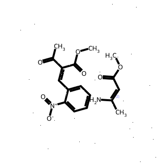 COC(=O)/C=C(/C)N.COC(=O)C(=Cc1ccccc1[N+](=O)[O-])C(C)=O